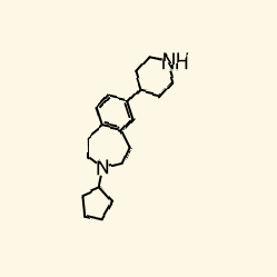 c1cc2c(cc1C1CCNCC1)CCN(C1CCCC1)CC2